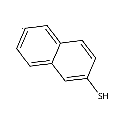 Sc1ccc2c[c]ccc2c1